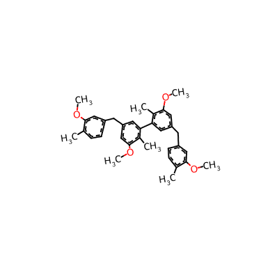 COc1cc(Cc2cc(OC)c(C)c(-c3cc(Cc4ccc(C)c(OC)c4)cc(OC)c3C)c2)ccc1C